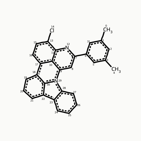 Cc1cc(C)cc(-c2cc3c4c(n2)c(Cl)ccc4c2cccc4c5ccccc5n3c24)c1